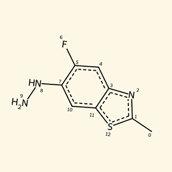 Cc1nc2cc(F)c(NN)cc2s1